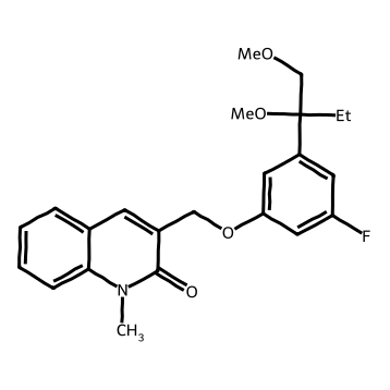 CCC(COC)(OC)c1cc(F)cc(OCc2cc3ccccc3n(C)c2=O)c1